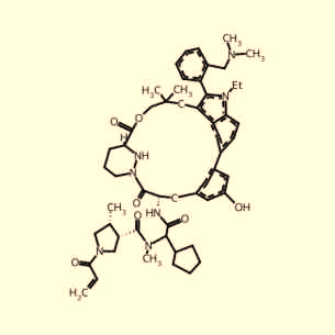 C=CC(=O)N1C[C@H](C)[C@H](C(=O)N(C)C(C(=O)N[C@H]2Cc3cc(O)cc(c3)-c3ccc4c(c3)c(c(-c3ccccc3CN(C)C)n4CC)CC(C)(C)COC(=O)[C@@H]3CCCN(N3)C2=O)C2CCCC2)C1